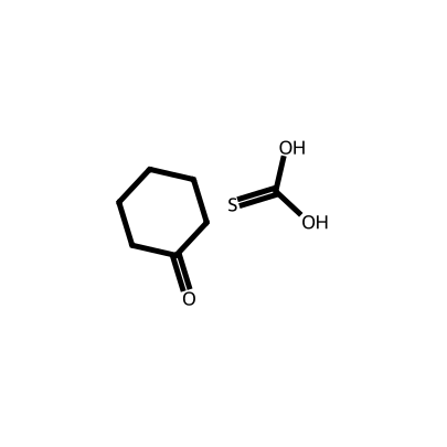 O=C1CCCCC1.OC(O)=S